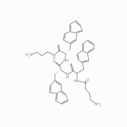 C=C(N[C@H](Cc1ccc2ccccc2c1)C(=O)N[C@@H](Cc1ccc2ccccc2c1)C(=C)NCCCN)C(Cc1ccc2ccccc2c1)NC(=O)CCCN